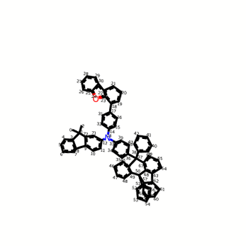 CC1(C)c2ccccc2-c2ccc(N(c3ccc(-c4cccc5c4oc4ccccc45)cc3)c3ccc(C4(c5ccccc5)c5ccccc5C5(c6ccccc6)c6ccccc6-c6cccc4c65)cc3)cc21